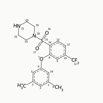 Cc1cc(C)cc(Oc2cc(C(F)(F)F)ccc2S(=O)(=O)N2CCNCC2)c1